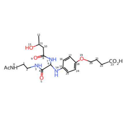 CC(=O)NCCNC(=O)C(NC(=O)CC(C)O)Nc1ccc(OCCCC(=O)O)cc1